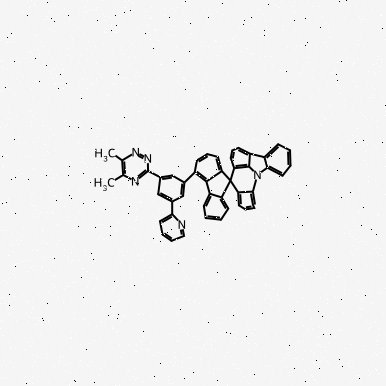 Cc1nnc(-c2cc(-c3ccccn3)cc(-c3cccc4c3-c3ccccc3C43c4ccccc4-n4c5ccccc5c5cccc3c54)c2)nc1C